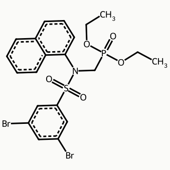 CCOP(=O)(CN(c1cccc2ccccc12)S(=O)(=O)c1cc(Br)cc(Br)c1)OCC